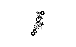 CC(C)C[C@H](NC(=O)c1cc2ccccc2s1)C(=O)NC1(C)CCCN(S(=O)(=O)c2ccccc2C#N)CC1